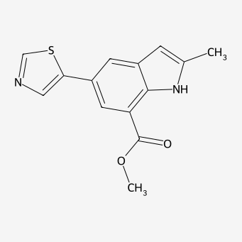 COC(=O)c1cc(-c2cncs2)cc2cc(C)[nH]c12